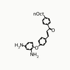 CCCCCCCCc1ccc(C(=O)/C=C/c2ccc(Oc3ccc(N)cc3N)cc2)cc1